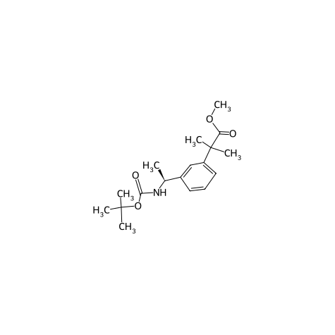 COC(=O)C(C)(C)c1cccc([C@H](C)NC(=O)OC(C)(C)C)c1